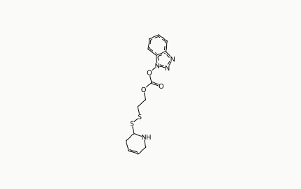 O=C(OCCSSC1CC=CCN1)On1nnc2ccccc21